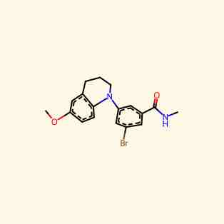 CNC(=O)c1cc(Br)cc(N2CCCc3cc(OC)ccc32)c1